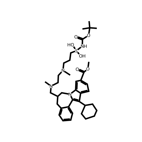 COC(=O)c1ccc2c(C3CCCCC3)c3n(c2c1)CC(CN(C)CCN(C)CCCS(O)(O)NC(=O)OC(C)(C)C)Cc1ccccc1-3